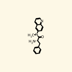 CN(C(=O)[C@@H](N)Cc1ccccc1)c1ccc2ncccc2c1